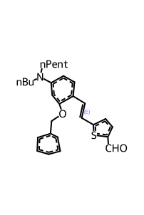 CCCCCN(CCCC)c1ccc(/C=C/c2ccc(C=O)s2)c(OCc2ccccc2)c1